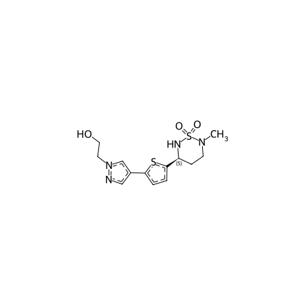 CN1CC[C@@H](c2ccc(-c3cnn(CCO)c3)s2)NS1(=O)=O